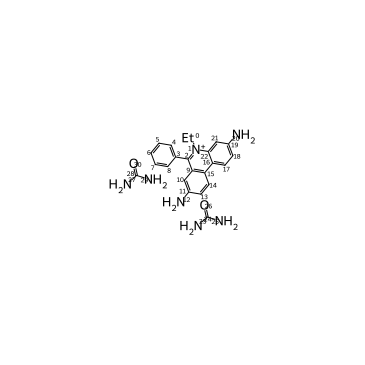 CC[n+]1c(-c2ccccc2)c2cc(N)ccc2c2ccc(N)cc21.NC(N)=O.NC(N)=O